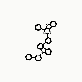 c1ccc(-c2cccc(-n3c4ccccc4c4c(-c5cccc(-c6nc(-c7ccccc7)c7sc8ccccc8c7n6)c5)cccc43)c2)cc1